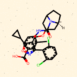 Cc1cc(C(=O)O)ccc1NC(=O)N1C2CC[C@H]1CC(OCc1c(-c3c(Cl)cccc3Cl)noc1C1CC1)C2